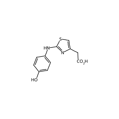 O=C(O)Cc1csc(Nc2ccc(O)cc2)n1